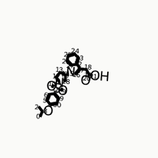 CC(C)Oc1ccc(S(=O)(=O)N2CC[C@H](n3cc(CC(=O)O)c4ccccc43)C2)cc1